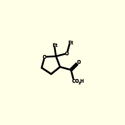 CCOC1(CC)OCCC1C(=O)C(=O)O